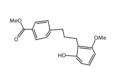 COC(=O)c1ccc(CCCc2c(O)cccc2OC)cc1